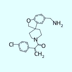 C=C(C(=O)N1CCC2(CC1)COc1ccc(CN)cc12)c1ccc(Cl)cc1